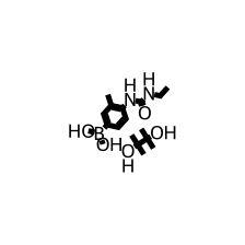 CC(C)(O)C(C)(C)O.CCNC(=O)Nc1ccc(B(O)O)cc1C